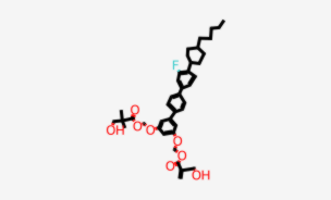 C=C(CO)C(=O)OCOc1cc(OCOC(=O)C(C)(C)CO)cc(-c2ccc(-c3ccc(C4CCC(CCCCC)CC4)c(F)c3)cc2)c1